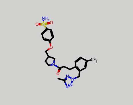 Cc1nnn(Cc2cc(C(F)(F)F)ccc2CCC(=O)N2CCC(COc3ccc(S(N)(=O)=O)cc3)C2)n1